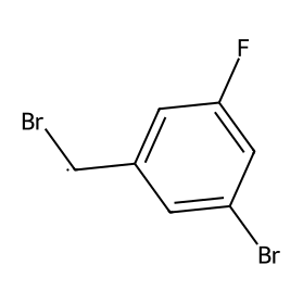 Fc1cc(Br)cc([CH]Br)c1